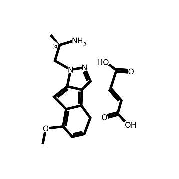 COC1=C2C=c3c(cnn3C[C@@H](C)N)=C2CC=C1.O=C(O)C=CC(=O)O